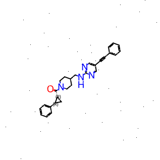 O=C([C@@H]1C[C@H]1c1ccccc1)N1CCC(CNc2ncc(C#Cc3ccccc3)cn2)CC1